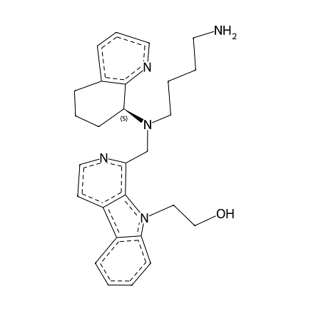 NCCCCN(Cc1nccc2c3ccccc3n(CCO)c12)[C@H]1CCCc2cccnc21